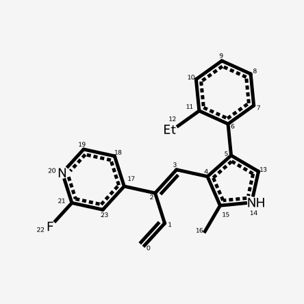 C=C/C(=C\c1c(-c2ccccc2CC)c[nH]c1C)c1ccnc(F)c1